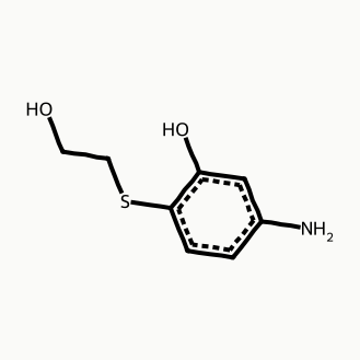 Nc1ccc(SCCO)c(O)c1